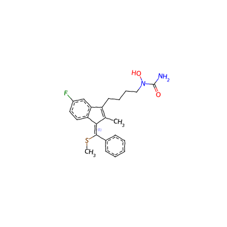 CS/C(=C1/C(C)=C(CCCCN(O)C(N)=O)c2cc(F)ccc21)c1ccccc1